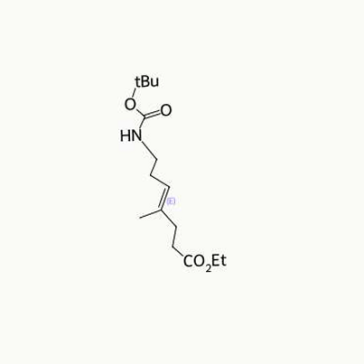 CCOC(=O)CC/C(C)=C/CCNC(=O)OC(C)(C)C